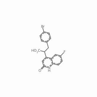 O=C(O)C(Cc1ccc(Br)cc1)c1cc(=O)[nH]c2ccc(F)cc12